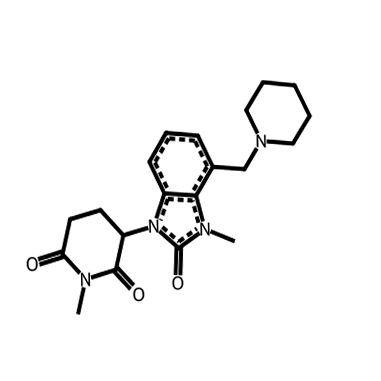 CN1C(=O)CCC(n2c(=O)n(C)c3c(CN4CCCCC4)cccc32)C1=O